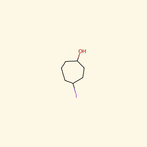 OC1CCCC(I)CC1